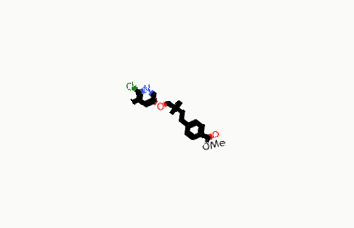 COC(=O)c1ccc(CCC(C)(C)COc2cnc(Cl)c(C)c2)cc1